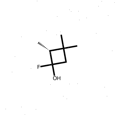 C[C@@H]1C(C)(C)CC1(O)F